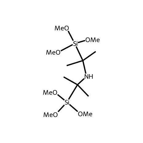 CO[Si](OC)(OC)C(C)(C)NC(C)(C)[Si](OC)(OC)OC